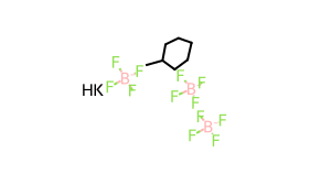 CC1CCCCC1.F[B-](F)(F)F.F[B-](F)(F)F.F[B-](F)(F)F.[KH]